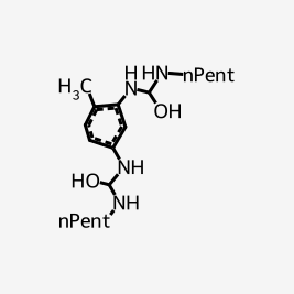 CCCCCNC(O)Nc1ccc(C)c(NC(O)NCCCCC)c1